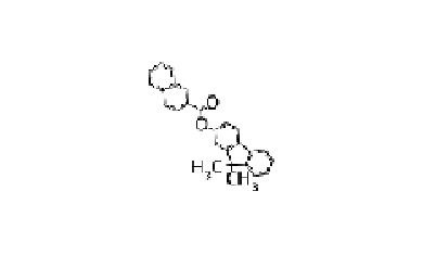 CC1(C)c2ccccc2-c2ccc(OC(=O)c3ccc4ccccc4c3)cc21